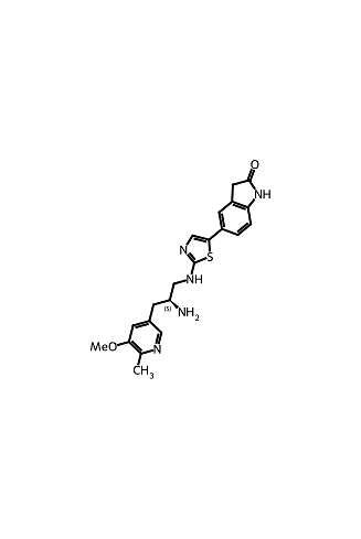 COc1cc(C[C@H](N)CNc2ncc(-c3ccc4c(c3)CC(=O)N4)s2)cnc1C